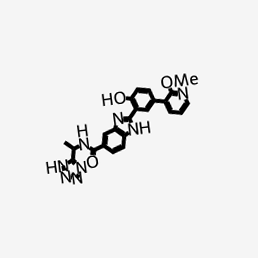 COc1ncccc1-c1ccc(O)c(-c2nc3cc(C(=O)NC(C)c4nnn[nH]4)ccc3[nH]2)c1